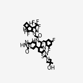 CC1(O)CN(c2nc3nc([C@H](Cc4cc(F)cc(F)c4)NC(=O)Cn4nc(C(F)(F)F)c5c4C(F)(F)[C@@H]4CC[C@H]54)c(-c4ccc5n[nH]c(=O)n5c4)cc3s2)C1